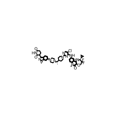 C[C@@H](C1CCN(c2ncc(Cl)c(Nc3ccc4c(c3)c3c(c(=O)n4C)OCC(F)(F)[C@H](C4CC4)N3)n2)CC1)N1CCN(c2ccc3c(C4CCC(=O)NC4=O)nn(C)c3c2)CC1